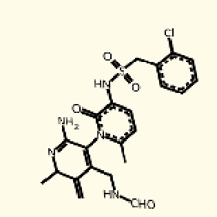 C=C1C(CNC=O)=C(n2c(C)ccc(NS(=O)(=O)Cc3ccccc3Cl)c2=O)C(N)=NC1C